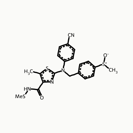 CSNC(=O)c1nc(N(Cc2ccc([S+](C)[O-])cc2)c2ccc(C#N)cc2)sc1C